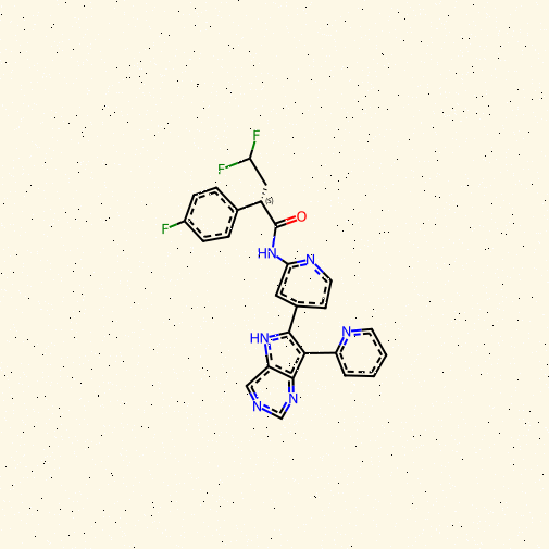 O=C(Nc1cc(-c2[nH]c3cncnc3c2-c2ccccn2)ccn1)[C@@H](CC(F)F)c1ccc(F)cc1